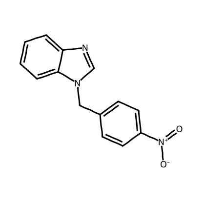 O=[N+]([O-])c1ccc(Cn2cnc3ccccc32)cc1